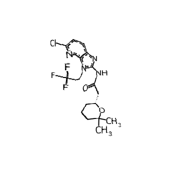 CC1(C)CCC[C@H](CC(=O)Nc2nc3ccc(Cl)nc3n2CC(F)(F)F)O1